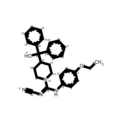 CCOc1ccc(N/C(=N/C#N)N2CCC(C(O)(c3ccccc3)c3ccccc3)CC2)cc1